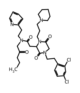 CCCC(=O)CN(CCc1ccccn1)C(=O)CC1C(=O)N(CCc2ccc(Cl)cc2Cl)CC(=O)N1CCCN1CCCCC1